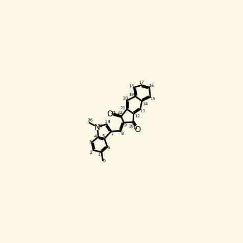 Cc1ccc2c(c1)c(C=C1C(=O)c3cc4ccccc4cc3C1=O)cn2C